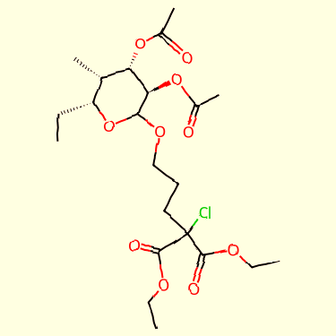 CCOC(=O)C(Cl)(CCCOC1O[C@H](CC)[C@H](C)[C@H](OC(C)=O)[C@H]1OC(C)=O)C(=O)OCC